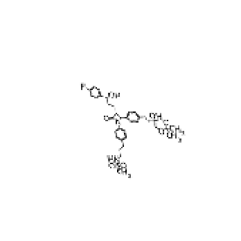 CC1(C)OCC(O)(CCc2ccc([C@@H]3[C@@H](CC[C@H](O)c4ccc(F)cc4)C(=O)N3c3ccc(CCCNS(C)(=O)=O)cc3)cc2)CO1